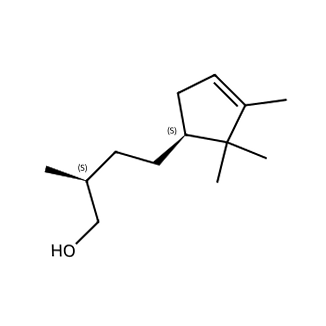 CC1=CC[C@H](CC[C@H](C)CO)C1(C)C